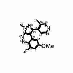 COc1cc(F)c2nnc3c(c(-c4ccncc4C)nn3C)c2c1